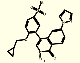 CCS(=O)(=O)c1ccc(OCC2CC2)c(-c2cn(C)c(=O)c3ccc(-n4cccn4)cc23)c1